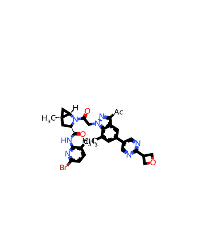 CC(=O)c1nn(CC(=O)N2[C@H](C(=O)Nc3nc(Br)ccc3C)C[C@@]3(C)C[C@@H]23)c2c(C)cc(-c3cnc(C4COC4)nc3)cc12